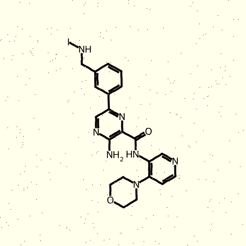 Nc1ncc(-c2cccc(CNI)c2)nc1C(=O)Nc1cnccc1N1CCOCC1